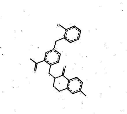 CC(=O)c1c[n+](Cc2ccccc2Cl)ccc1CC1CCc2cc(C)ccc2C1=O